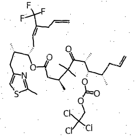 C=CC/C(=C\C[C@H](OC(=O)C[C@H](C)C(C)(C)C(=O)[C@H](C)[C@@H](OC(=O)OCC(Cl)(Cl)Cl)[C@@H](C)CC=C)[C@@H](C)Cc1csc(C)n1)C(F)(F)F